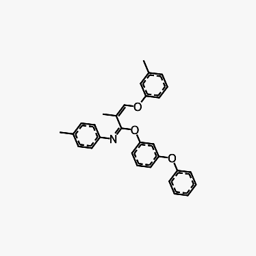 CC(=COc1cccc(C)c1)C(=Nc1ccc(C)cc1)Oc1cccc(Oc2ccccc2)c1